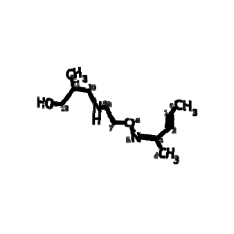 CC#C/C(C)=N\OCCNC[C@H](C)CO